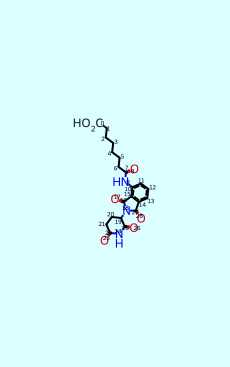 O=C(O)CCCCCCC(=O)Nc1cccc2c1C(=O)N(C1CCC(=O)NC1=O)C2=O